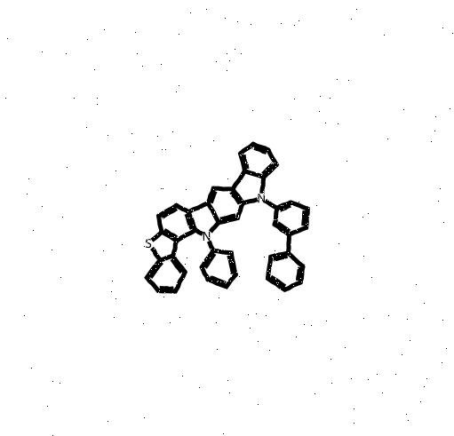 c1ccc(-c2cccc(-n3c4ccccc4c4cc5c6ccc7sc8ccccc8c7c6n(-c6ccccc6)c5cc43)c2)cc1